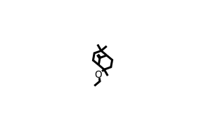 C=C1C2CCC(C)(OCC)C1CCC2(C)C